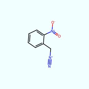 N#[N+]Cc1ccccc1[N+](=O)[O-]